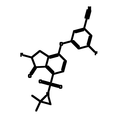 CC1(C)CN1S(=O)(=O)c1ccc(Oc2cc(F)cc(C#N)c2)c2c1C(=O)C(F)C2